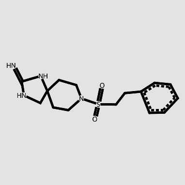 N=C1NCC2(CCN(S(=O)(=O)CCc3ccccc3)CC2)N1